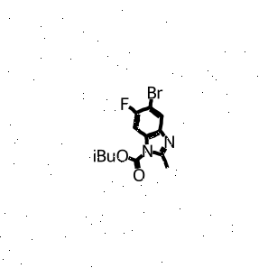 Cc1nc2cc(Br)c(F)cc2n1C(=O)OCC(C)C